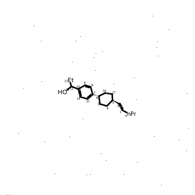 CCCC=C[C@H]1CC[C@H](c2ccc(C(O)CC)cc2)CC1